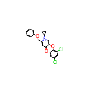 O=c1cc(COc2ccccc2)n(C2CC2)cc1Oc1ccc(Cl)cc1Cl